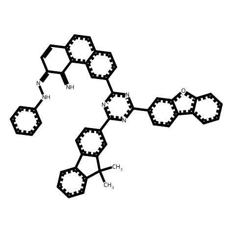 CC1(C)c2ccccc2-c2ccc(-c3nc(-c4ccc5c(c4)oc4ccccc45)nc(-c4ccc5ccc6c(c5c4)C(=N)/C(=N\Nc4ccccc4)C=C6)n3)cc21